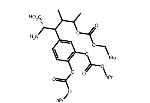 CCCOC(=O)Oc1ccc(C(C(C)C(C)OC(=O)OCC(C)(C)C)[C@H](N)C(=O)O)cc1OC(=O)OCCC